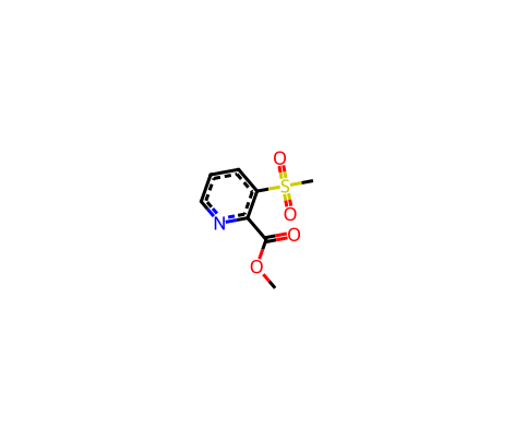 COC(=O)c1ncccc1S(C)(=O)=O